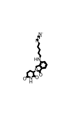 [N-]=[N+]=NCCCCCNc1cccc2c1CN(C1CCC(=O)NC1=O)C2=O